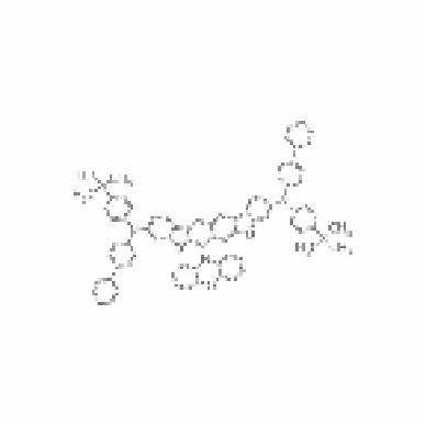 CC(C)(C)c1ccc(N(c2ccc(-c3ccccc3)cc2)c2ccc3c(c2)oc2cc4c(N5c6ccccc6Oc6ccccc65)c5oc6cc(N(c7ccc(-c8ccccc8)cc7)c7ccc(C(C)(C)C)cc7)ccc6c5cc4cc23)cc1